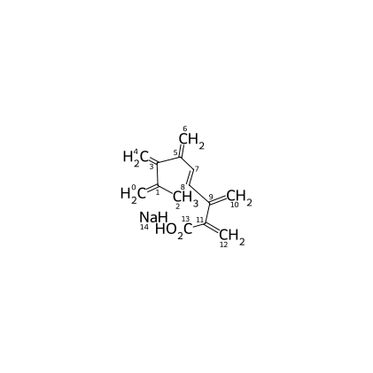 C=C(C)C(=C)C(=C)C=CC(=C)C(=C)C(=O)O.[NaH]